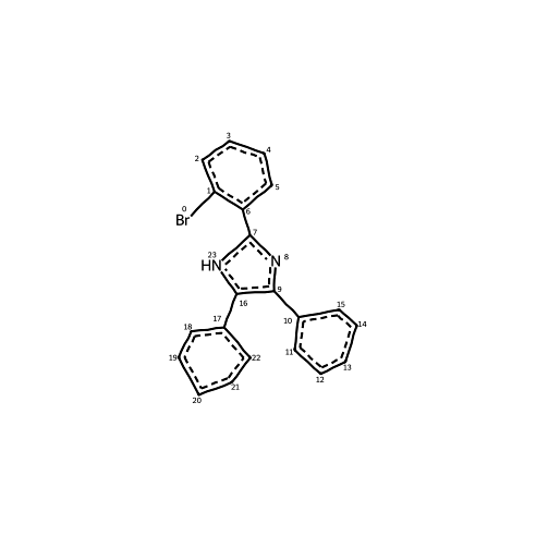 Brc1ccccc1-c1nc(-c2ccccc2)c(-c2ccccc2)[nH]1